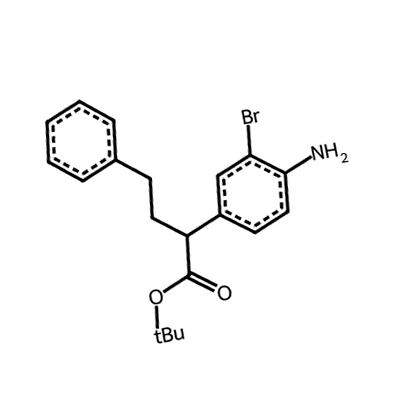 CC(C)(C)OC(=O)C(CCc1ccccc1)c1ccc(N)c(Br)c1